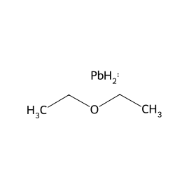 CCOCC.[PbH2]